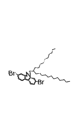 CCCCCCCCCCCCC(CCCCCCCCCC)Cn1c2cc(Br)ccc2c2ccc(Br)cc21